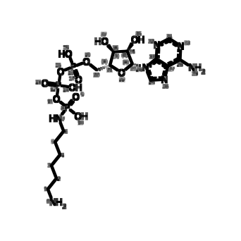 NCCCCCCNP(=O)(O)OP(=O)(O)OP(=O)(O)OC[C@H]1O[C@@H](n2cnc3c(N)ncnc32)[C@H](O)[C@@H]1O